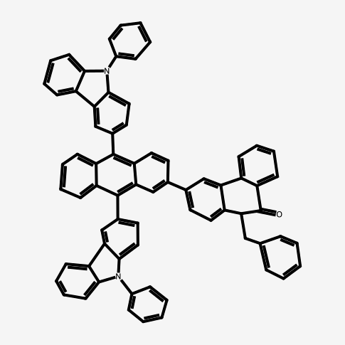 O=C1c2ccccc2-c2cc(-c3ccc4c(-c5ccc6c(c5)c5ccccc5n6-c5ccccc5)c5ccccc5c(-c5ccc6c(c5)c5ccccc5n6-c5ccccc5)c4c3)ccc2C1Cc1ccccc1